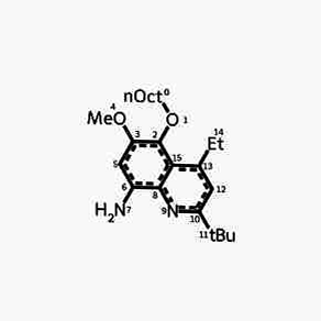 CCCCCCCCOc1c(OC)cc(N)c2nc(C(C)(C)C)cc(CC)c12